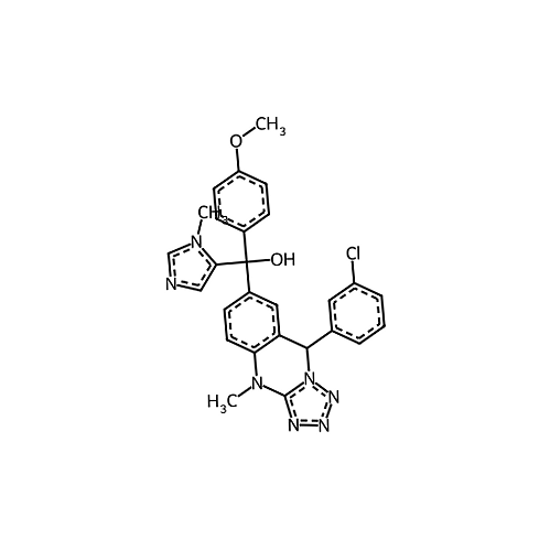 COc1ccc(C(O)(c2ccc3c(c2)C(c2cccc(Cl)c2)n2nnnc2N3C)c2cncn2C)cc1